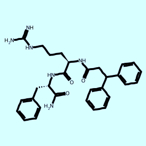 N=C(N)NCCC[C@@H](NC(=O)CC(c1ccccc1)c1ccccc1)C(=O)N[C@@H](Cc1ccccc1)C(N)=O